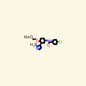 COCCOc1ccc(NC(=O)c2ccc(Cl)cc2)cc1-c1ccnn1C